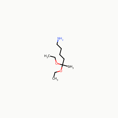 CCOC([SiH3])(CCCCN)OCC